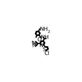 Cc1ccc(CN)cc1C(=O)NC(C)c1cc(-c2cnn(C)c2)nc(-c2ccc(Cl)s2)c1